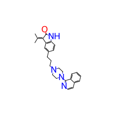 CC(C)=C1C(=O)Nc2ccc(CCCN3CCN(c4nccc5ccccc45)CC3)cc21